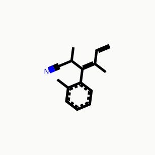 C=C/C(C)=C(/c1ccccc1C)C(C)C#N